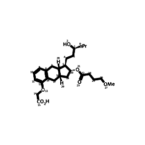 CCC[C@H](O)CC[C@@H]1[C@H]2Cc3cccc(OCC(=O)O)c3C[C@H]2C[C@H]1OC(=O)CCCOC